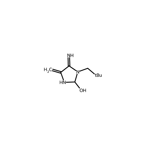 C=C1NC(O)N(CC(C)(C)C)C1=N